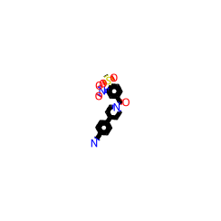 CS(=O)(=O)c1ccc(C(=O)N2CCC(c3ccc(C#N)cc3)CC2)cc1[N+](=O)[O-]